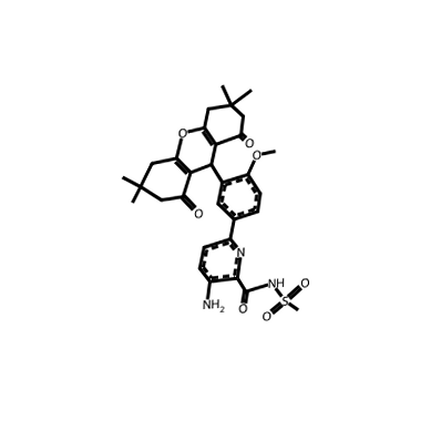 COc1ccc(-c2ccc(N)c(C(=O)NS(C)(=O)=O)n2)cc1C1C2=C(CC(C)(C)CC2=O)OC2=C1C(=O)CC(C)(C)C2